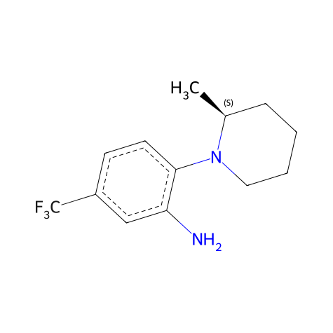 C[C@H]1CCCCN1c1ccc(C(F)(F)F)cc1N